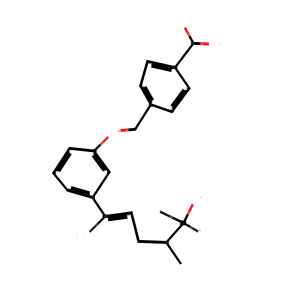 CCCC(=CCC(C)C(O)(CC)CC)c1cccc(OCc2ccc(C(O)O)cc2)c1